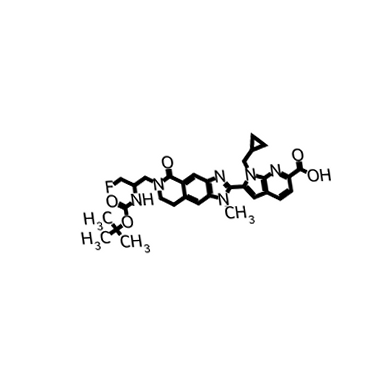 Cn1c(-c2cc3ccc(C(=O)O)nc3n2CC2CC2)nc2cc3c(cc21)CCN(CC(CF)NC(=O)OC(C)(C)C)C3=O